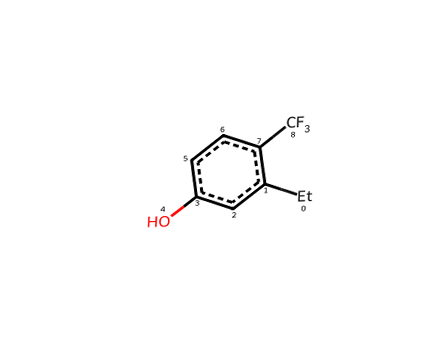 CCc1cc(O)ccc1C(F)(F)F